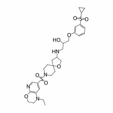 CCN1CCOc2ncc(S(=O)(=O)N3CCC4(CC3)CC(NCC(O)COc3cccc(S(=O)(=O)C5CC5)c3)CO4)cc21